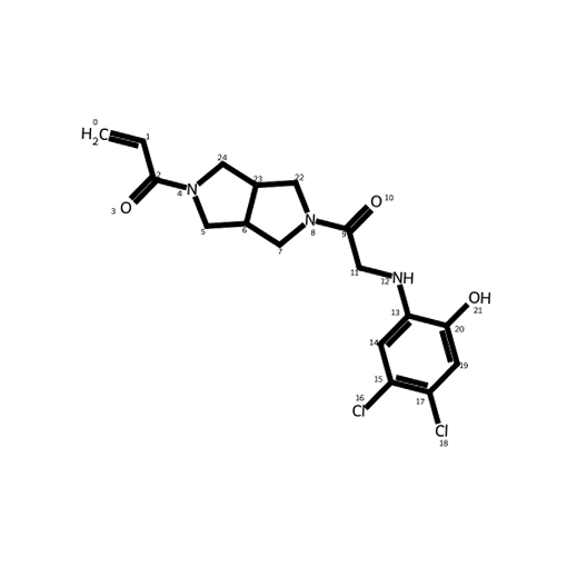 C=CC(=O)N1CC2CN(C(=O)CNc3cc(Cl)c(Cl)cc3O)CC2C1